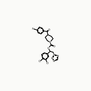 O=C(c1ccc(F)cc1)C1CCN(C(=O)OC(Cn2ncnn2)c2ccc(Cl)c(Cl)c2)CC1